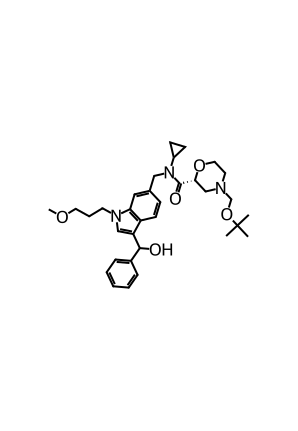 COCCCn1cc(C(O)c2ccccc2)c2ccc(CN(C(=O)[C@H]3CN(COC(C)(C)C)CCO3)C3CC3)cc21